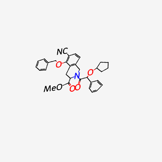 COC(=O)C1Cc2c(ccc(C#N)c2OCc2ccccc2)CN1C(=O)[C@@H](OC1CCCC1)c1ccccc1